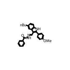 CCCCc1ccc2[nH]c(-c3ccc(OC)cc3)c(C=NNC(=O)c3ccccc3)c2c1